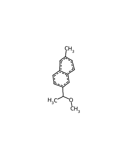 COC(C)c1ccc2cc(C)ccc2c1